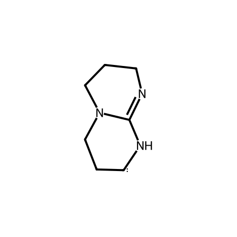 [C]1CCN2CCCN=C2N1